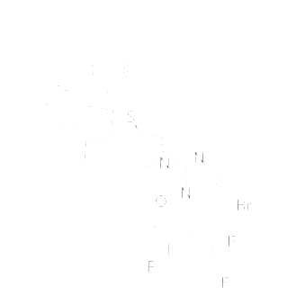 Fc1cc(F)c(COC[C@@H]2C[C@@H](SC(c3ccccc3)(c3ccccc3)c3ccccc3)CN2c2ncc(Br)cn2)cc1F